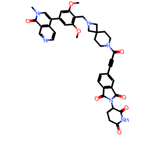 COc1cc(-c2cn(C)c(=O)c3cnccc23)cc(OC)c1CN1CC2(CCN(C(=O)C#Cc3ccc4c(c3)C(=O)N(C3CCC(=O)NC3=O)C4=O)CC2)C1